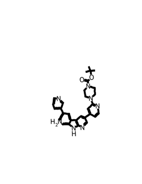 C=C(/C=c1\c(=C/N)[nH]c2ncc(-c3ccnc(N4CCN(C(=O)OC(C)(C)C)CC4)c3)cc12)c1cccnc1